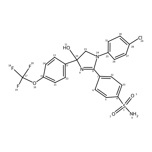 NS(=O)(=O)c1ccc(C2=NC(O)(c3ccc(OC(F)(F)F)cc3)CN2c2ccc(Cl)cc2)cc1